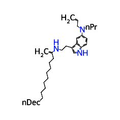 C=CCN(CCC)c1ccc2[nH]cc(CCNC(=C)CCCCCCCCCCCCCCCCCCC)c2c1